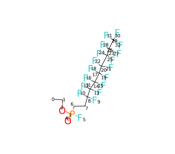 CCOP(=O)(F)CCC(F)(F)C(F)(F)C(F)(F)C(F)(F)C(F)(F)C(F)(F)C(F)(F)C(F)(F)F